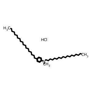 CCCCCCCCCCCCCCCCCCCc1ccc(N(C)CCCCCCCCCCCCCCCCCC)cc1.Cl